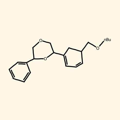 CCCCOCC1C=CC=C(C2COCC(c3cc[c]cc3)O2)C1